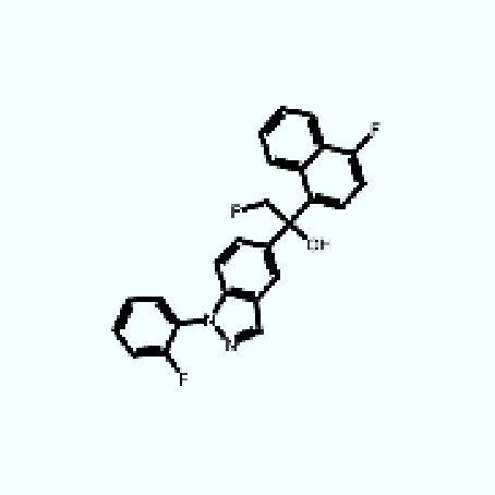 OC(CF)(c1ccc2c(cnn2-c2ccccc2F)c1)c1ccc(F)c2ccccc12